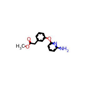 COC(=O)Cc1cccc(Oc2cccc(N)n2)c1